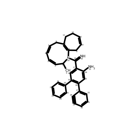 CC1/C=C\C=C/CC2=C(CC=CCC2)N1C(=N)c1cc(-c2ccccc2)c(-c2c#cccc2)cc1N